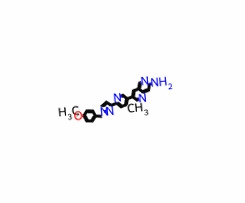 COc1ccc(Cn2ccc(-c3cc(C)c(-c4cnc5cc(N)ncc5c4)cn3)n2)cc1